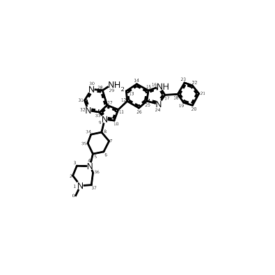 CN1CCN(C2CCC(n3cc(-c4ccc5[nH]c(-c6ccccc6)nc5c4)c4c(N)ncnc43)CC2)CC1